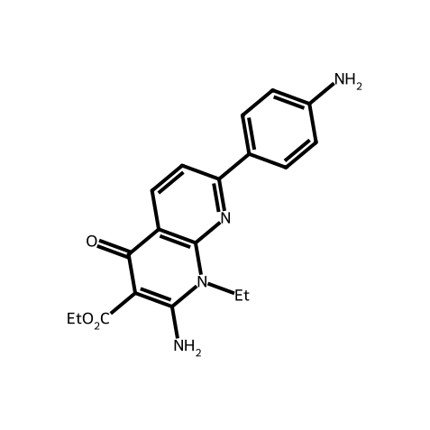 CCOC(=O)c1c(N)n(CC)c2nc(-c3ccc(N)cc3)ccc2c1=O